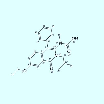 CCOc1ccc2c(-c3ccccc3)c(N(C)C(=O)O)n(CC(C)C)c(=O)c2c1